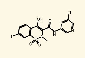 CN1C(C(=O)Nc2cncc(Cl)n2)=C(O)c2ccc(F)cc2S1(=O)=O